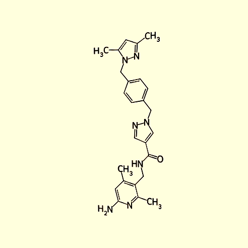 Cc1cc(C)n(Cc2ccc(Cn3cc(C(=O)NCc4c(C)cc(N)nc4C)cn3)cc2)n1